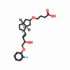 O=C(O)CCCOC1C[C@H]2CC[C@H](C=CC(O)COc3ccccc3F)[C@@H]2C1